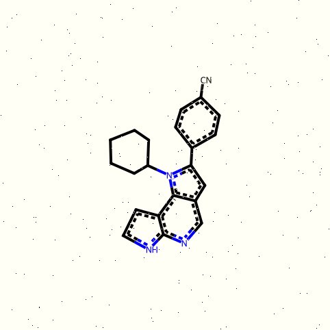 N#Cc1ccc(-c2cc3cnc4[nH]ccc4c3n2C2CCCCC2)cc1